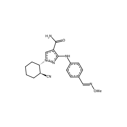 CO/N=C/c1ccc(Nc2nn([C@H]3CCCC[C@@H]3C#N)cc2C(N)=O)cc1